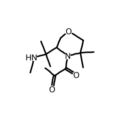 CNC(C)(C)C1COCC(C)(C)N1C(=O)C(C)=O